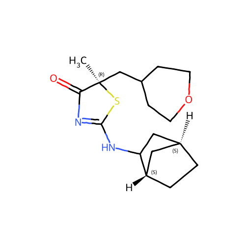 C[C@]1(CC2CCOCC2)SC(NC2C[C@H]3CC[C@H]2C3)=NC1=O